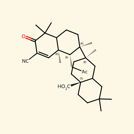 CC(=O)C[C@@H]1[C@@]2(C)C=C(C#N)C(=O)C(C)(C)C2CC[C@@]1(C)[C@]1(C)CC[C@@]2(C(=O)O)CCC(C)(C)CC2C1